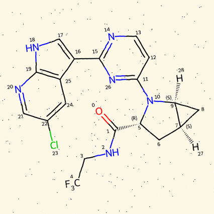 O=C(NCC(F)(F)F)[C@H]1C[C@@H]2C[C@@H]2N1c1ccnc(-c2c[nH]c3ncc(Cl)cc23)n1